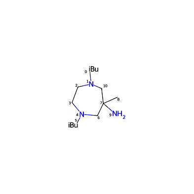 CCC(C)N1CCN(C(C)CC)CC(C)(N)C1